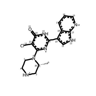 C[C@@H]1CNCCN1c1nc(-c2c[nH]c3ncccc23)[nH]c(=O)c1Cl